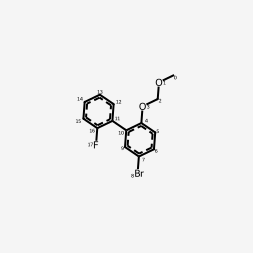 COCOc1ccc(Br)cc1-c1ccccc1F